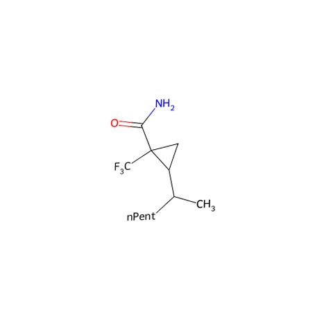 CCCCCC(C)C1CC1(C(N)=O)C(F)(F)F